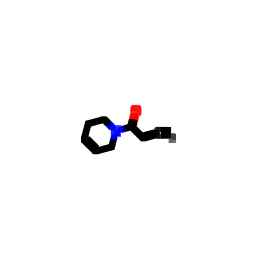 C=CC(=O)N1CC=CCC1